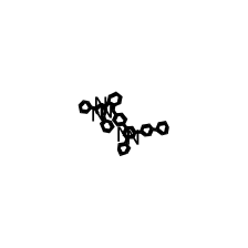 c1ccc(-c2ccc(-c3cc(-c4ccc(-c5c6ccccc6c6nc(-c7ccccc7)nc(-c7ccccc7)n56)cc4)nc(-c4ccccc4)n3)cc2)cc1